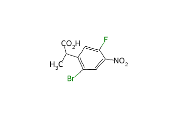 CC(C(=O)O)c1cc(F)c([N+](=O)[O-])cc1Br